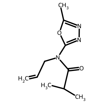 C=CCN(C(=O)C(C)C)c1nnc(C)o1